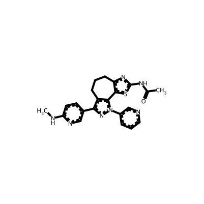 CNc1ccc(-c2nn(-c3cccnc3)c3c2CCCc2nc(NC(C)=O)sc2-3)cn1